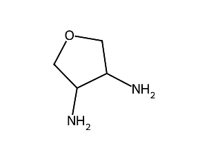 NC1COCC1N